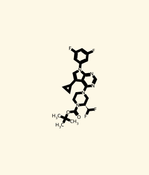 CC(C)(C)OC(=O)N1CCN(c2ncnc3c2c(C2CC2)cn3-c2cc(F)cc(F)c2)C[C@@H]1C(F)F